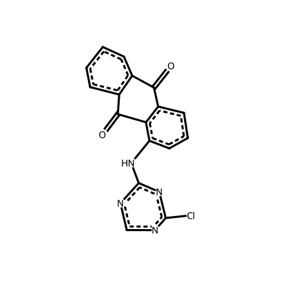 O=C1c2ccccc2C(=O)c2c(Nc3ncnc(Cl)n3)cccc21